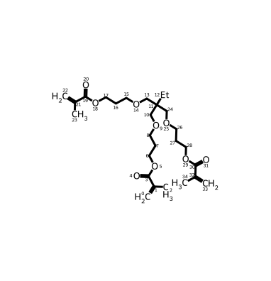 C=C(C)C(=O)OCCCOCC(CC)(COCCCOC(=O)C(=C)C)COCCCOC(=O)C(=C)C